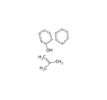 C=C(C)C.Oc1ccccc1.c1ccccc1